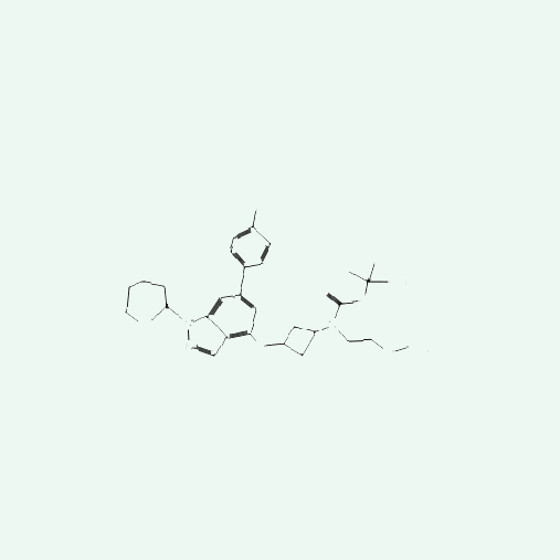 COCCN(C(=O)OC(C)(C)C)C1CC(Oc2cc(-c3ccc(O)cc3)cc3c2cnn3C2CCCCO2)C1